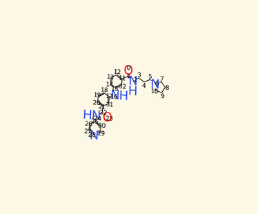 O=C(NCCCN1CCCC1)c1cccc(Nc2cccc(C(=O)Nc3ccncc3)c2)c1